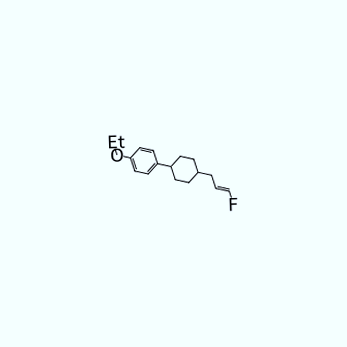 CCOc1ccc(C2CCC(CC=CF)CC2)cc1